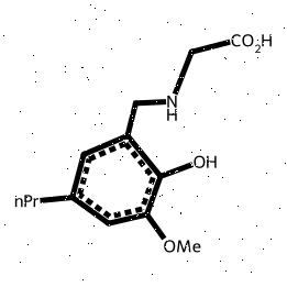 CCCc1cc(CNCC(=O)O)c(O)c(OC)c1